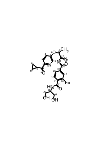 CC(Oc1ccc(C(=O)C2CC2)nc1)c1noc(-c2ccc(C(=O)NC(CO)CO)c(F)c2)n1